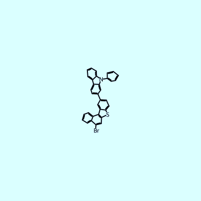 Brc1cc2sc3ccc(-c4ccc5c6ccccc6n(-c6ccccc6)c5c4)cc3c2c2ccccc12